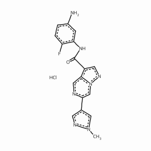 Cl.Cn1cc(-c2cn3ncc(C(=O)Nc4cc(N)ccc4F)c3cn2)cn1